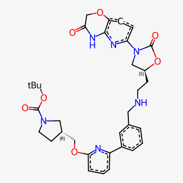 CC(C)(C)OC(=O)N1CC[C@@H](COc2cccc(-c3cccc(CNCC[C@H]4CN(c5ccc6c(n5)NC(=O)CO6)C(=O)O4)c3)n2)C1